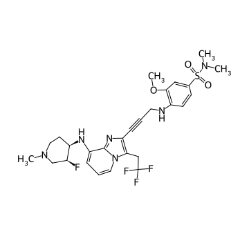 COc1cc(S(=O)(=O)N(C)C)ccc1NCC#Cc1nc2c(N[C@@H]3CCN(C)C[C@@H]3F)cccn2c1CC(F)(F)F